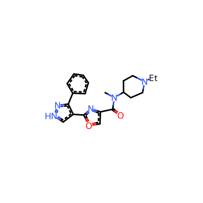 CCN1CCC(N(C)C(=O)c2coc(-c3c[nH]nc3-c3ccccc3)n2)CC1